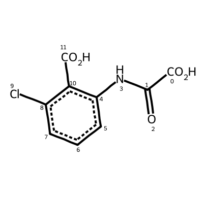 O=C(O)C(=O)Nc1cccc(Cl)c1C(=O)O